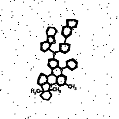 Cc1cc2c3c(c1)N1c4c(cccc4C4(C)CCCCC14C)B3c1ccc(N(c3cccc(-c4ccc5ccccc5c4)c3)c3cccc4c5c(sc34)CCC=C5)cc1N2c1ccccc1